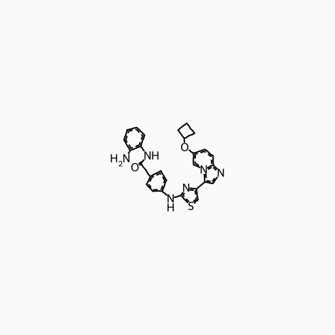 Nc1ccccc1NC(=O)c1ccc(Nc2nc(-c3cnc4ccc(OC5CCC5)cn34)cs2)cc1